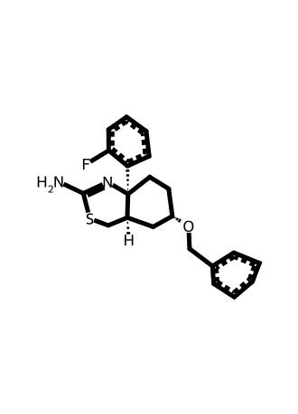 NC1=N[C@@]2(c3ccccc3F)CC[C@H](OCc3ccccc3)C[C@H]2CS1